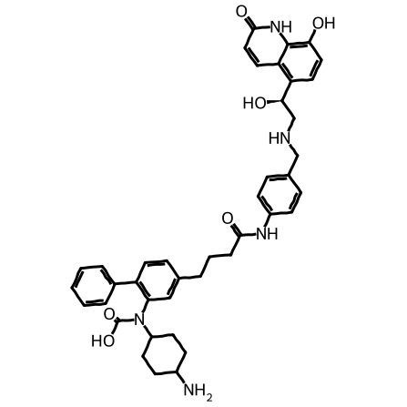 NC1CCC(N(C(=O)O)c2cc(CCCC(=O)Nc3ccc(CNC[C@@H](O)c4ccc(O)c5[nH]c(=O)ccc45)cc3)ccc2-c2ccccc2)CC1